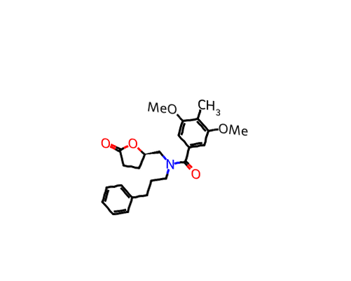 COc1cc(C(=O)N(CCCc2ccccc2)C[C@H]2CCC(=O)O2)cc(OC)c1C